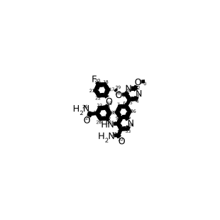 COc1ncc(-c2ccc3c(Nc4cc(Oc5ccc(F)cc5)cc(C(N)=O)c4)c(C(N)=O)cnc3c2)c(OC)n1